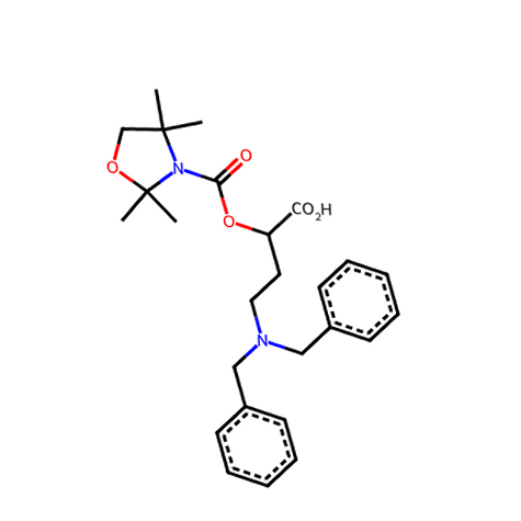 CC1(C)COC(C)(C)N1C(=O)OC(CCN(Cc1ccccc1)Cc1ccccc1)C(=O)O